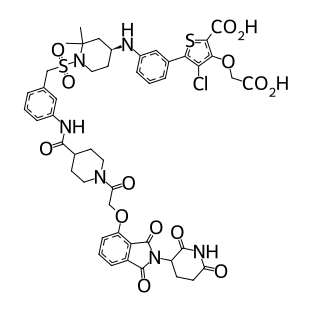 CC1(C)C[C@@H](Nc2cccc(-c3sc(C(=O)O)c(OCC(=O)O)c3Cl)c2)CCN1S(=O)(=O)Cc1cccc(NC(=O)C2CCN(C(=O)COc3cccc4c3C(=O)N(C3CCC(=O)NC3=O)C4=O)CC2)c1